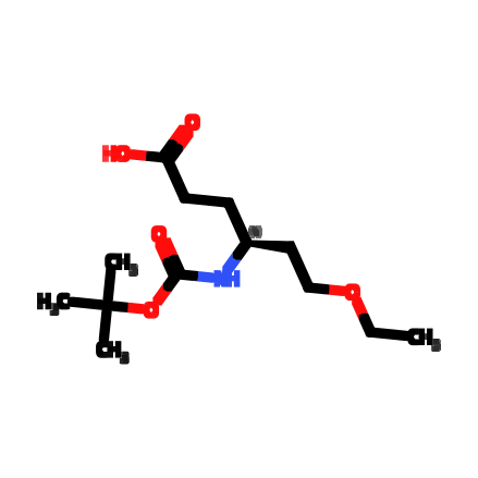 CCOCC[C@H](CCC(=O)O)NC(=O)OC(C)(C)C